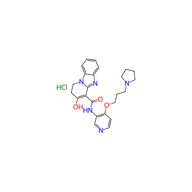 Cl.O=C(Nc1cnccc1OCCCN1CCCC1)C1=C(O)CCn2c1nc1ccccc12